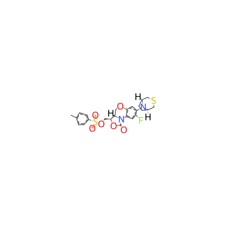 Cc1ccc(S(=O)(=O)OC[C@@H]2OC(=O)N3c4cc(F)c(N5[C@@H]6CC[C@H]5CSC6)cc4OC[C@@H]23)cc1